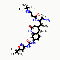 C/C(N)=C(\NC(=O)CCNC(C)(C)C)C(C)C1CC(=O)Nc2cc(NC(=O)Nc3cc(C(C)(C)C)on3)ccc2[C@H]1C